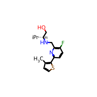 Cc1ccsc1-c1ccc(F)c(CN[C@@H](CO)C(C)C)n1